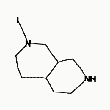 IN1CCC2CCNCC2C1